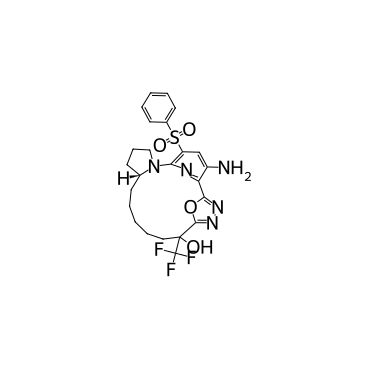 Nc1cc(S(=O)(=O)c2ccccc2)c2nc1-c1nnc(o1)C(O)(C(F)(F)F)CCCCC[C@@H]1CCCN21